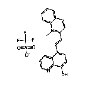 C[n+]1c(C=Cc2ccc(O)c3ncccc23)ccc2ccccc21.O=S(=O)([O-])C(F)(F)F